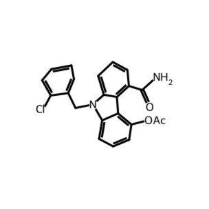 CC(=O)Oc1cccc2c1c1c(C(N)=O)cccc1n2Cc1ccccc1Cl